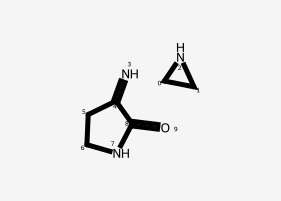 C1CN1.N=C1CCNC1=O